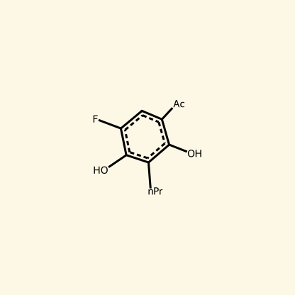 CCCc1c(O)c(F)cc(C(C)=O)c1O